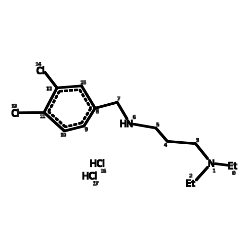 CCN(CC)CCCNCc1ccc(Cl)c(Cl)c1.Cl.Cl